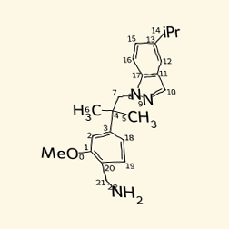 COc1cc(C(C)(C)Cn2ncc3cc(C(C)C)ccc32)ccc1CN